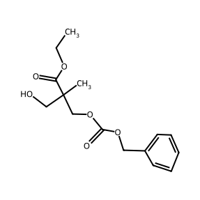 CCOC(=O)C(C)(CO)COC(=O)OCc1ccccc1